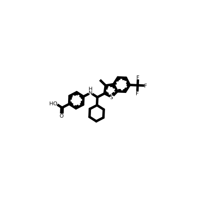 Cc1c(C(Nc2ccc(C(=O)O)cc2)C2CCCCC2)sc2cc(C(F)(F)F)ccc12